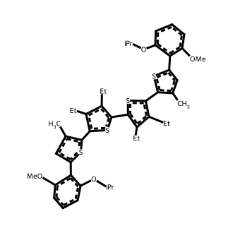 CCc1c(-c2sc(-c3c(OC)cccc3OC(C)C)cc2C)sc(-c2sc(-c3sc(-c4c(OC)cccc4OC(C)C)cc3C)c(CC)c2CC)c1CC